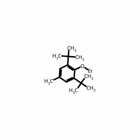 Cc1cc(C(C)(C)C)c([O][Er])c(C(C)(C)C)c1